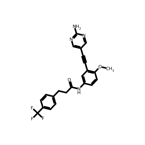 COc1ccc(NC(=O)CCc2ccc(C(F)(F)F)cc2)cc1C#Cc1cnc(N)nc1